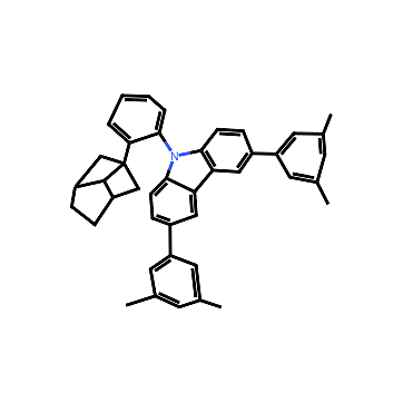 Cc1cc(C)cc(-c2ccc3c(c2)c2cc(-c4cc(C)cc(C)c4)ccc2n3-c2ccccc2C23CC4CCC(C2)C43)c1